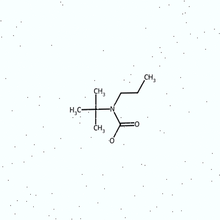 CCCN(C([O])=O)C(C)(C)C